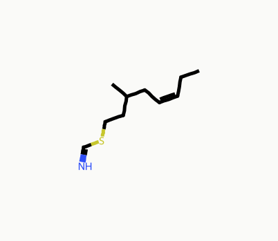 CC/C=C\CC(C)CCSC=N